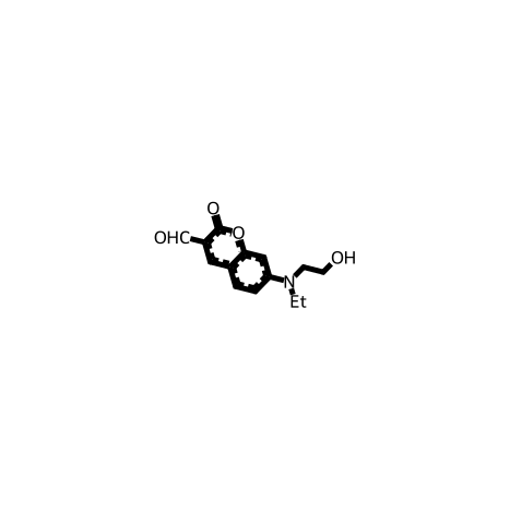 CCN(CCO)c1ccc2cc(C=O)c(=O)oc2c1